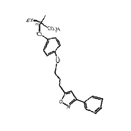 CC[C@](C)(Oc1ccc(OCCCc2cc(-c3ccccc3)no2)cc1)C(=O)O